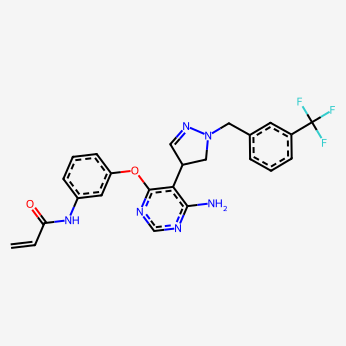 C=CC(=O)Nc1cccc(Oc2ncnc(N)c2C2C=NN(Cc3cccc(C(F)(F)F)c3)C2)c1